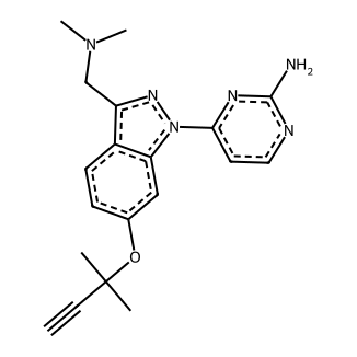 C#CC(C)(C)Oc1ccc2c(CN(C)C)nn(-c3ccnc(N)n3)c2c1